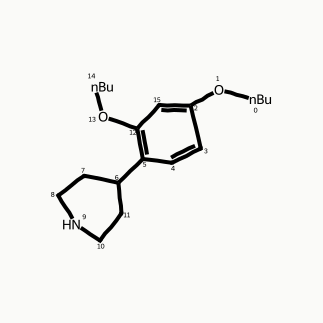 CCCCOc1ccc(C2CCNCC2)c(OCCCC)c1